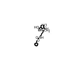 CC(CCCCNC(=O)OCc1ccccc1)Nc1c(C(=O)O)cnc(Cl)c1N